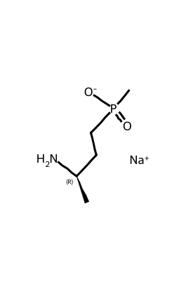 C[C@@H](N)CCP(C)(=O)[O-].[Na+]